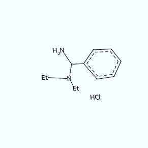 CCN(CC)C(N)c1ccccc1.Cl